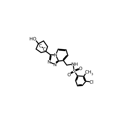 Cc1c(Cl)cccc1S(=O)(=O)NCc1cccn2c(C34CCC(O)(CC3)CC4)nnc12